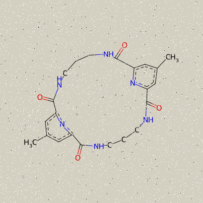 Cc1cc2nc(c1)C(=O)NCCCNC(=O)c1cc(C)cc(n1)C(=O)NCCCNC2=O